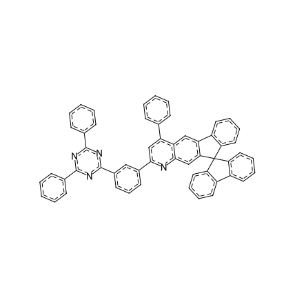 c1ccc(-c2nc(-c3ccccc3)nc(-c3cccc(-c4cc(-c5ccccc5)c5cc6c(cc5n4)C4(c5ccccc5-c5ccccc54)c4ccccc4-6)c3)n2)cc1